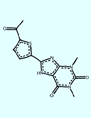 CC(=O)c1ccc(-c2nc3c([nH]2)c(=O)n(C)c(=O)n3C)s1